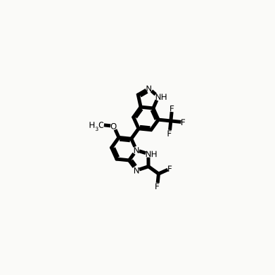 COC1=C(c2cc(C(F)(F)F)c3[nH]ncc3c2)N2NC(C(F)F)N=C2C=C1